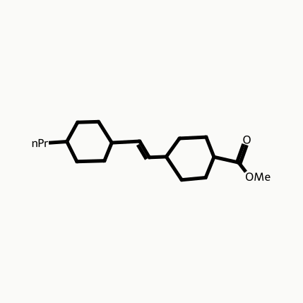 CCCC1CCC(C=CC2CCC(C(=O)OC)CC2)CC1